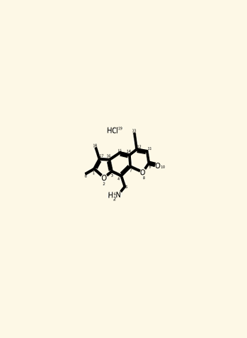 Cc1oc2c(CN)c3oc(=O)cc(C)c3cc2c1C.Cl